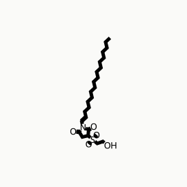 CCCCCCCCCCCCCCCCC=CN1C(=O)CC(S(=O)(=O)CCO)C1=O